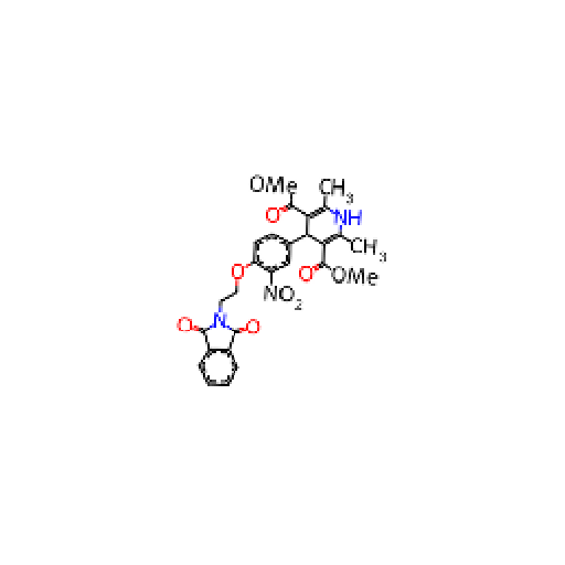 COC(=O)C1=C(C)NC(C)=C(C(=O)OC)C1c1ccc(OCCN2C(=O)c3ccccc3C2=O)c([N+](=O)[O-])c1